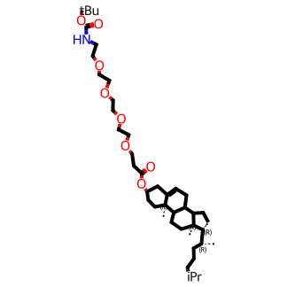 CC(C)CCC[C@@H](C)[C@H]1CCC2C3CC=C4CC(OC(=O)CCOCCOCCOCCOCCNC(=O)OC(C)(C)C)CC[C@]4(C)C3CC[C@@]21C